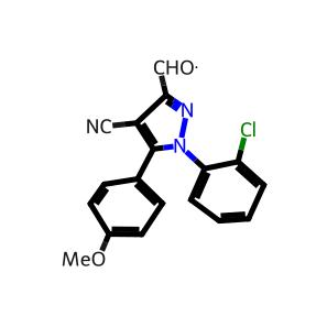 COc1ccc(-c2c(C#N)c([C]=O)nn2-c2ccccc2Cl)cc1